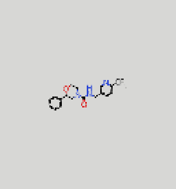 O=C(NCc1ccc(C(F)(F)F)nc1)N1CCOC(c2ccccc2)C1